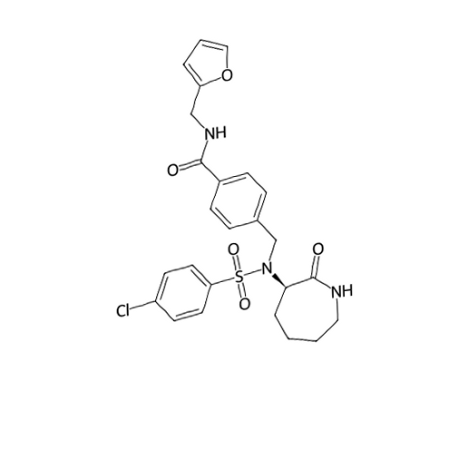 O=C(NCc1ccco1)c1ccc(CN([C@@H]2CCCCNC2=O)S(=O)(=O)c2ccc(Cl)cc2)cc1